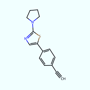 C#Cc1ccc(-c2cnc(N3CCCC3)s2)cc1